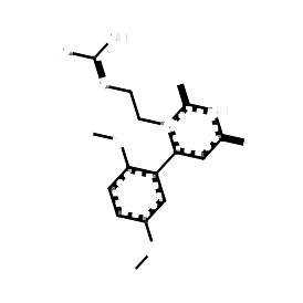 COc1ccc(OC)c(-c2cc(=O)[nH]c(=S)n2CCN=C(N)N)c1